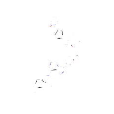 C#C[C@@]1(O)[C@@H](COC(Cc2ccc(N3CCCNC3=O)cc2)(C(=O)OCC)C(=O)OCC)O[C@@H](n2cnc3c(NCc4ccc(OC)cc4OC)nc(Cl)nc32)[C@@H]1O